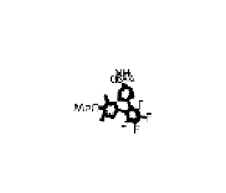 COc1c(C)cc(-c2c(F)c(F)c(F)c(F)c2-c2ccc(S(N)(=O)=O)cc2)cc1C